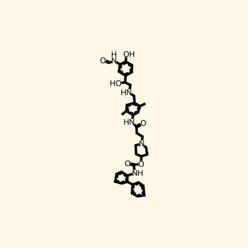 Cc1cc(NC(=O)CCN2CCC(OC(=O)Nc3ccccc3-c3ccccc3)CC2)c(C)cc1CNCC(O)c1ccc(O)c(NC=O)c1